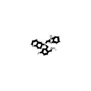 NCc1ccc(F)cc1CN(Cc1nc2ccccc2[nH]1)C1C=C2C=CC=NC2CC1